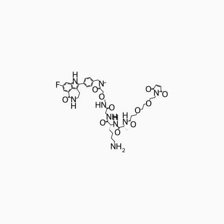 C[C@@H](NC(=O)CCOCCOCCN1C(=O)C=CC1=O)C(=O)N[C@H](CCCCN)C(=O)NCC(=O)NCOCC(=O)N(C)Cc1ccc(-c2[nH]c3cc(F)cc4c3c2CCNC4=O)cc1